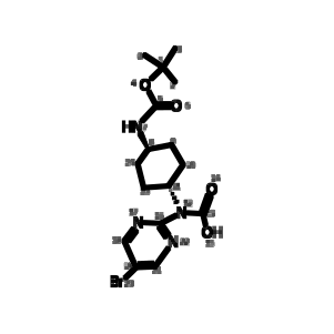 CC(C)(C)OC(=O)N[C@H]1CC[C@H](N(C(=O)O)c2ncc(Br)cn2)CC1